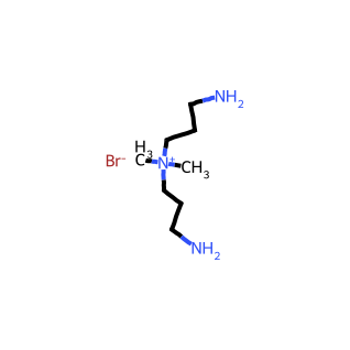 C[N+](C)(CCCN)CCCN.[Br-]